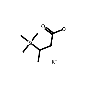 CC(CC(=O)[O-])[Si](C)(C)C.[K+]